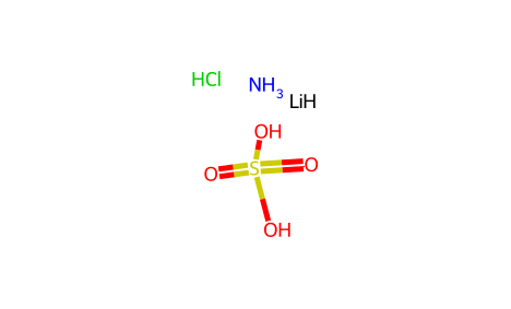 Cl.N.O=S(=O)(O)O.[LiH]